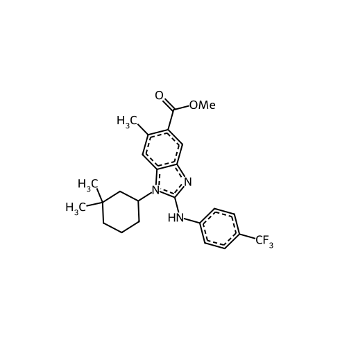 COC(=O)c1cc2nc(Nc3ccc(C(F)(F)F)cc3)n(C3CCCC(C)(C)C3)c2cc1C